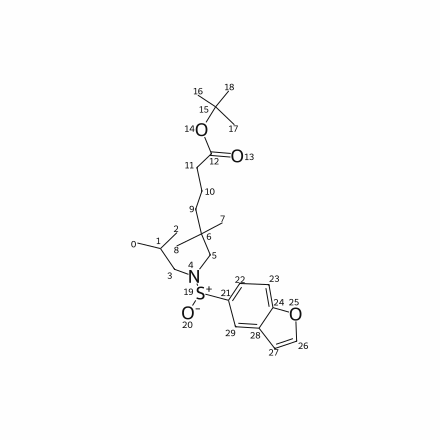 CC(C)CN(CC(C)(C)CCCC(=O)OC(C)(C)C)[S+]([O-])c1ccc2occc2c1